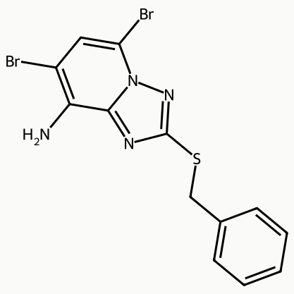 Nc1c(Br)cc(Br)n2nc(SCc3ccccc3)nc12